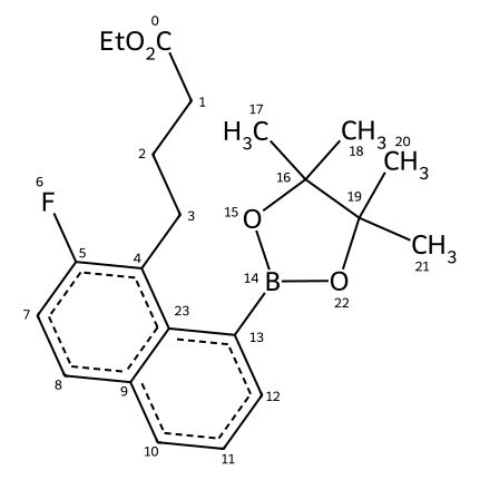 CCOC(=O)CCCc1c(F)ccc2cccc(B3OC(C)(C)C(C)(C)O3)c12